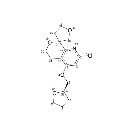 Clc1cc(OC[C@H]2CCCO2)c2c(n1)C1(CCOC1)OCC2